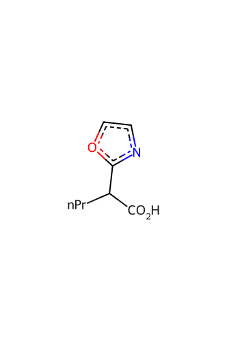 CCCC(C(=O)O)c1ncco1